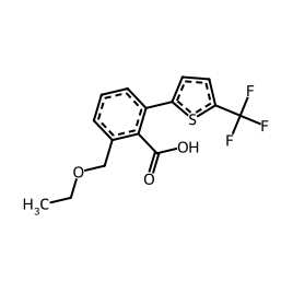 CCOCc1cccc(-c2ccc(C(F)(F)F)s2)c1C(=O)O